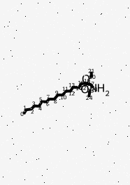 CCCCCCCCCCCCCCCCC(CN)(OCC)OCC